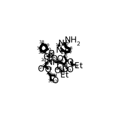 CCC(=O)O[C@H]1[C@H](c2ccc3c(N)ncnn23)O[C@](C#N)(COP(=O)(N[C@@H](C)C(=O)OCC2COC2)Oc2ccccc2)[C@H]1OC(=O)CC